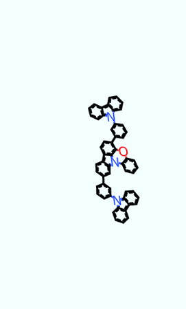 c1cc(-c2ccc3c4ccc(-c5cccc(-n6c7ccccc7c7ccccc76)c5)c5c4n(c3c2)-c2ccccc2O5)cc(-n2c3ccccc3c3ccccc32)c1